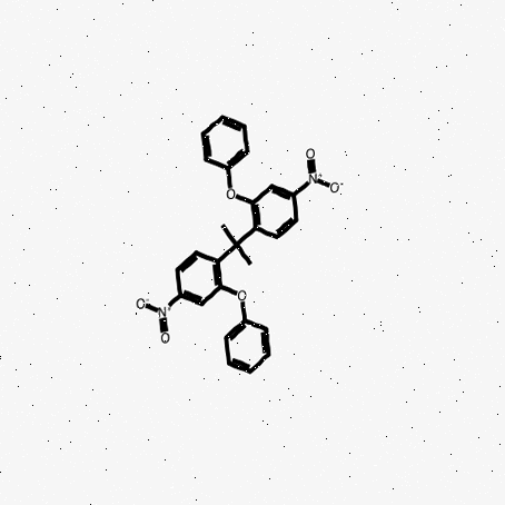 CC(C)(c1ccc([N+](=O)[O-])cc1Oc1ccccc1)c1ccc([N+](=O)[O-])cc1Oc1ccccc1